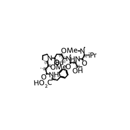 CC[C@H](C)[C@@H]([C@@H](CC(=O)N1CCC[C@H]1[C@H](OC)[C@@H](C)C(=O)N[C@@H](Cc1ccccc1)C(=O)O)OC)N(C)C(=O)[C@@H](NC(=O)[C@H](C(C)C)N(C)C)[C@@H](C)O